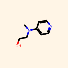 CN(CCO)c1ccncc1